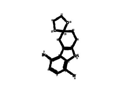 Brc1ccc(Br)c2c3c([nH]c12)CCC1(C3)OCCO1